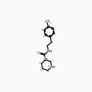 O=C(NCCc1ccc(C(F)(F)F)cc1)[C@@H]1CCCNC1